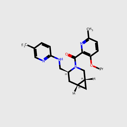 Cc1ccc(OC(C)C)c(C(=O)N2C[C@@H]3C[C@@H]3C[C@H]2CNc2ccc(C(F)(F)F)cn2)n1